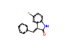 O=C1Nc2ccc(F)cc2/C1=C\c1ccccc1